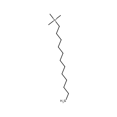 C[N+](C)(C)CCCCCCCCCCC[SiH3]